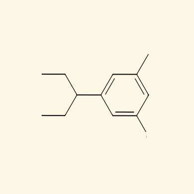 CCC(CC)c1cc(C)cc(Cl)c1